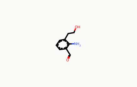 Nc1c(C=O)cccc1CCO